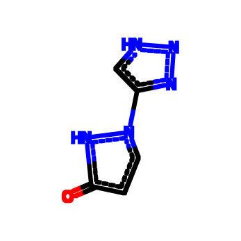 O=c1ccn(-c2c[nH]nn2)[nH]1